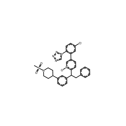 CS(=O)(=O)N1CCC(c2cccc(C(Cc3ccccc3)c3ccc(-c4cc(Cl)ccc4-n4cnnn4)c[n+]3[O-])c2)CC1